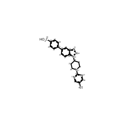 CCc1cnc(N2CCC(n3nnc4cc(-c5ccc(C(=O)O)cc5)ccc43)CC2)nc1